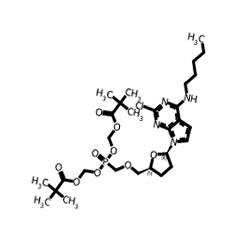 CCCCCNc1nc(Cl)nc2c1ccn2[C@H]1CC[C@@H](COCP(=O)(OCOC(=O)C(C)(C)C)OCOC(=O)C(C)(C)C)O1